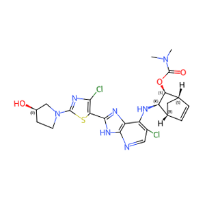 CN(C)C(=O)O[C@@H]1[C@H](Nc2c(Cl)cnc3[nH]c(-c4sc(N5CC[C@@H](O)C5)nc4Cl)nc23)[C@H]2C=C[C@@H]1C2